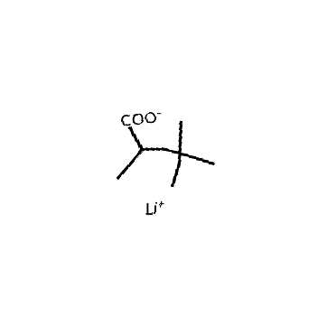 CC(C(=O)[O-])C(C)(C)C.[Li+]